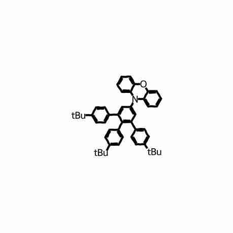 CC(C)(C)c1ccc(-c2cc(N3c4ccccc4Oc4ccccc43)cc(-c3ccc(C(C)(C)C)cc3)c2-c2ccc(C(C)(C)C)cc2)cc1